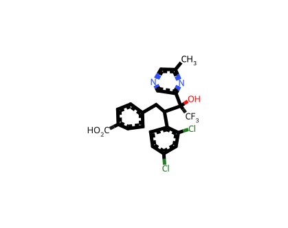 Cc1cncc(C(O)(C(Cc2ccc(C(=O)O)cc2)c2ccc(Cl)cc2Cl)C(F)(F)F)n1